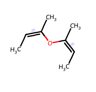 C/C=C(/C)O/C(C)=C\C